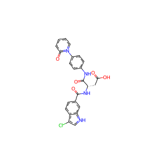 O=C(O)C[C@H](NC(=O)c1ccc2c(Cl)c[nH]c2c1)C(=O)Nc1ccc(-n2ccccc2=O)cc1